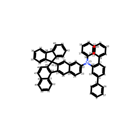 c1ccc(-c2ccc(-c3ccccc3)c(N(c3ccccc3)c3ccc4cc5c(cc4c3)C3(c4ccccc4-c4ccccc43)c3ccc4ccccc4c3-5)c2)cc1